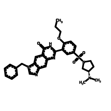 CCCOc1ccc(S(=O)(=O)N2CC[C@H](N(C)C)C2)cc1-c1nc2cc3ncn(Cc4ccccc4)c3cc2c(=O)[nH]1